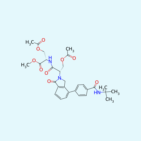 COC(=O)[C@H](COC(C)=O)NC(=O)[C@H](COC(C)=O)N1Cc2c(cccc2-c2ccc(C(=O)NC(C)(C)C)cc2)C1=O